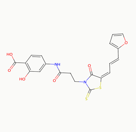 O=C(CCN1C(=O)/C(=C\C=C\c2ccco2)SC1=S)Nc1ccc(C(=O)O)c(O)c1